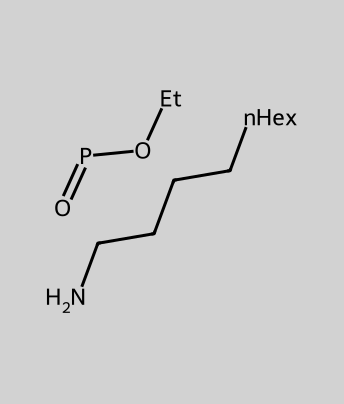 CCCCCCCCCCN.CCOP=O